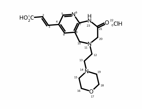 Cl.O=C(O)/C=C/c1cnc2c(c1)CN(CCN1CCOCC1)CC(=O)N2